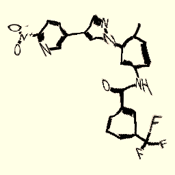 Cc1ccc(NC(=O)c2cccc(C(F)(F)F)c2)cc1-n1cc(-c2ccc([N+](=O)[O-])nc2)cn1